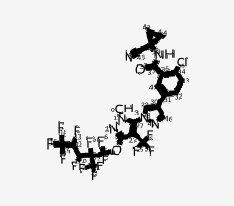 Cn1nc(OC(F)(F)C(F)(C(F)C(F)C(F)(F)F)C(F)(F)F)c(C(F)(F)F)c1-n1cc(-c2ccc(Cl)c(C(=O)NC3(C#N)CC3)c2)cn1